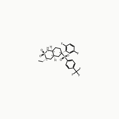 CC[C@H]1C[C@@H]2C[C@](c3cc(F)ccc3F)(S(=O)(=O)c3ccc(C(F)(F)F)cc3)CC[C@@H]2NS1(=O)=O